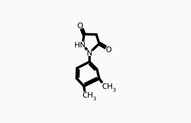 Cc1ccc(N2NC(=O)CC2=O)cc1C